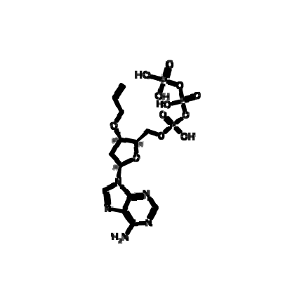 C=CCO[C@@H]1C[C@H](n2cnc3c(N)ncnc32)O[C@@H]1COP(=O)(O)OP(=O)(O)OP(=O)(O)O